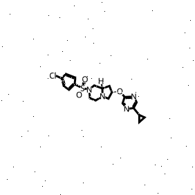 O=S(=O)(c1ccc(Cl)cc1)N1CCN2C[C@@H](Oc3cnc(C4CC4)cn3)C[C@H]2C1